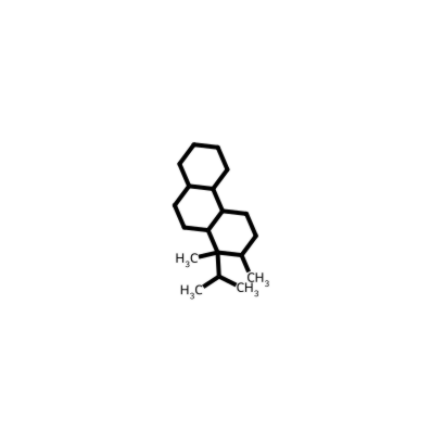 CC(C)C1(C)C(C)CCC2C3CCCCC3CCC21